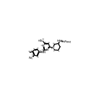 CCCCCNC1CCCN(c2cc(CCCC)nc(Nc3ccc(C)c(C#N)c3)n2)C1